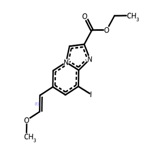 CCOC(=O)c1cn2cc(/C=C/OC)cc(I)c2n1